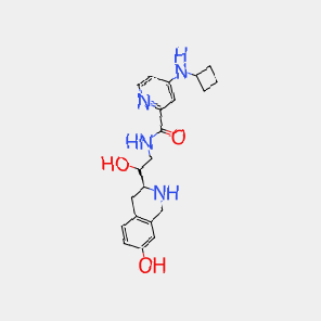 O=C(NCC(O)[C@@H]1Cc2ccc(O)cc2CN1)c1cc(NC2CCC2)ccn1